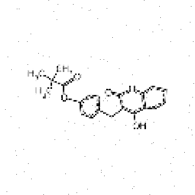 CC(C)(C)C(=O)Oc1ccc(Cc2c(O)c3ccccc3oc2=O)cc1